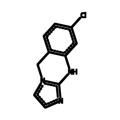 Clc1ccc2c(c1)Nc1nccn1C2